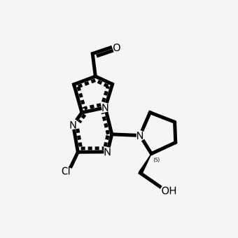 O=Cc1cc2nc(Cl)nc(N3CCC[C@H]3CO)n2c1